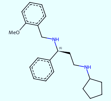 COc1ccccc1CN[C@@H](CCNC1CCCC1)c1ccccc1